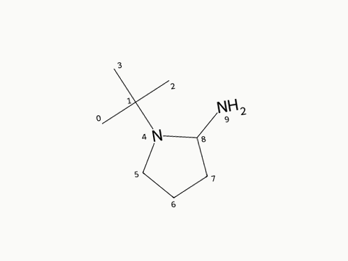 CC(C)(C)N1CCCC1N